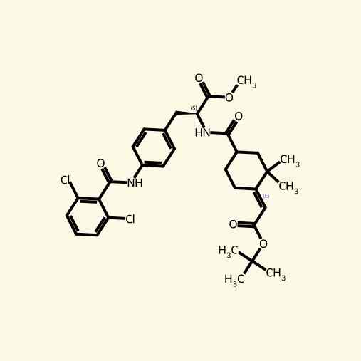 COC(=O)[C@H](Cc1ccc(NC(=O)c2c(Cl)cccc2Cl)cc1)NC(=O)C1CC/C(=C\C(=O)OC(C)(C)C)C(C)(C)C1